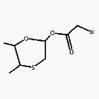 CC1OC(OC(=O)CBr)CSC1C